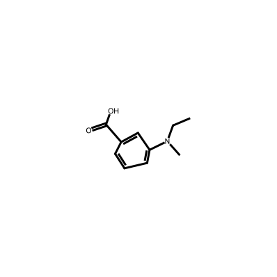 CCN(C)c1cccc(C(=O)O)c1